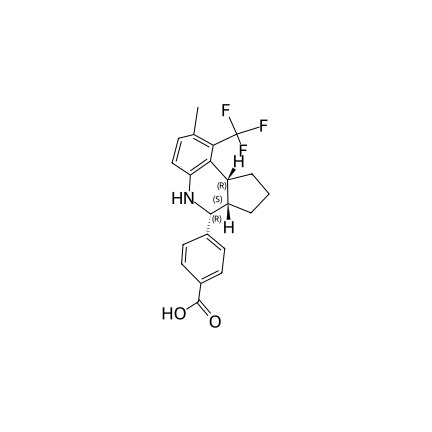 Cc1ccc2c(c1C(F)(F)F)[C@@H]1CCC[C@@H]1[C@H](c1ccc(C(=O)O)cc1)N2